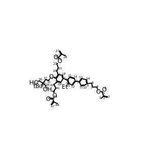 C=C(C)C(=O)OCCCc1ccc(-c2ccc(-c3cc(CCCOC(=O)C(=C)C)c(OCCC(CO)(CO)C(C)(C)C)c(CCCOC(=O)C(=C)C)c3)c(CC)c2)cc1